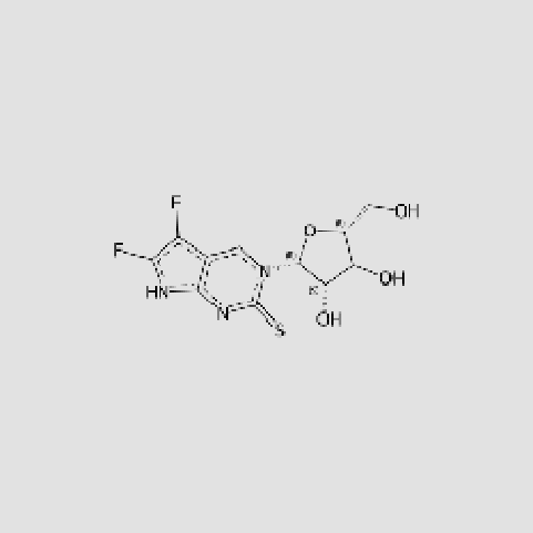 OC[C@H]1O[C@@H](n2cc3c(F)c(F)[nH]c3nc2=S)[C@@H](O)C1O